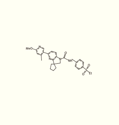 CCS(=O)(=O)c1ccc(CNC(=O)N2CC3(CCCC3)c3nc(-c4cnc(OC)cc4C)ccc32)cc1